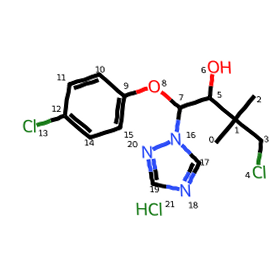 CC(C)(CCl)C(O)C(Oc1ccc(Cl)cc1)n1cncn1.Cl